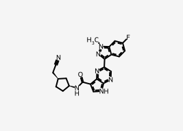 Cn1nc(-c2cnc3[nH]cc(C(=O)N[C@H]4CC[C@@H](CC#N)C4)c3n2)c2ccc(F)cc21